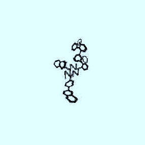 C1=Cc2ccc(-c3nc(C4=CCC(c5ccc6ccccc6c5)C=C4)nc(-c4cccc5oc6c(-c7cccc8oc9ccccc9c78)cccc6c45)n3)cc2CC1